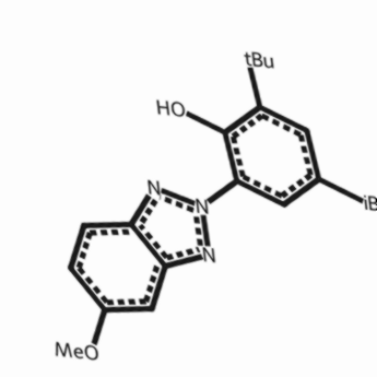 CCC(C)c1cc(-n2nc3ccc(OC)cc3n2)c(O)c(C(C)(C)C)c1